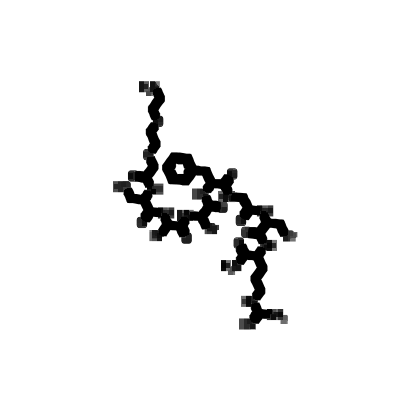 CC(C)CC(NC(=O)CNC(=O)C(Cc1ccccc1)NC(=O)C(NC(=O)C(NC(=O)C(CO)NC(=O)COCCOCCN)C(C)C)C(C)C)C(=O)NC(CCCNC(=N)N)C(N)=O